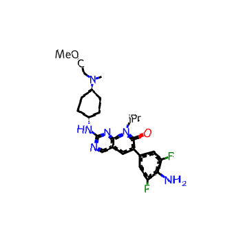 COCCN(C)[C@H]1CC[C@H](Nc2ncc3cc(-c4cc(F)c(N)c(F)c4)c(=O)n(C(C)C)c3n2)CC1